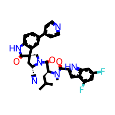 CC(C)C[C@@H](C(=O)N1C[C@]2(C[C@H]1C#N)C(=O)Nc1ccc(-c3ccncc3)cc12)N(C)C(=O)c1cc2c(F)cc(F)cc2[nH]1